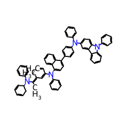 C=C/C(=C\C(C)=C(/C)N(c1ccccc1)C1C=CC=CC1)N(c1ccccc1)c1ccc(-c2ccc(N(c3ccccc3)c3ccc4c(c3)c3ccccc3n4-c3ccccc3)cc2)c2ccccc12